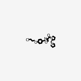 O=C(c1coc(-c2ccc(OCCCCl)cc2)n1)N1CCC[C@H]1CN1CCCC1